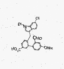 CCn1cc(Cc2ccc(C(=O)O)cc2-c2ccc(OC)cc2C=O)c2ccc(C#N)cc21